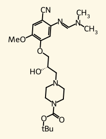 COc1cc(C#N)c(N=CN(C)C)cc1OC[C@@H](O)CN1CCN(C(=O)OC(C)(C)C)CC1